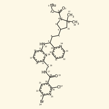 CC(C)(C)OC(=O)N1CC(CCC(Nc2cccc(SNC(=O)c3ccc(Br)nc3Cl)n2)c2ccccn2)CC1(C)C